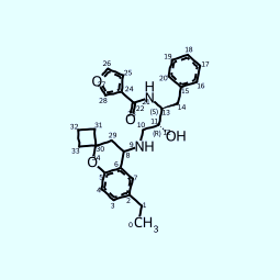 CCc1ccc2c(c1)C(NC[C@@H](O)[C@H](Cc1ccccc1)NC(=O)c1ccoc1)CC1(CCC1)O2